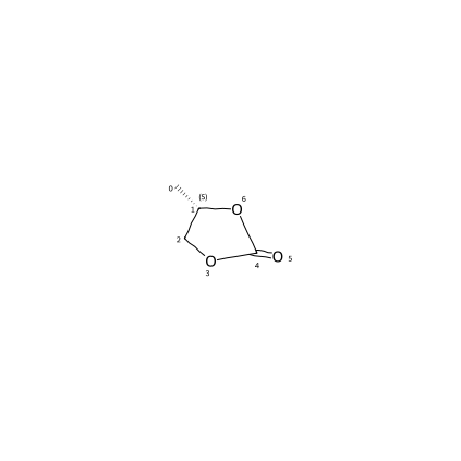 C[C@H]1COC(=O)O1